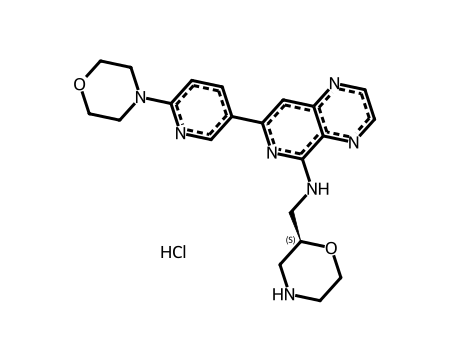 Cl.c1cnc2c(NC[C@@H]3CNCCO3)nc(-c3ccc(N4CCOCC4)nc3)cc2n1